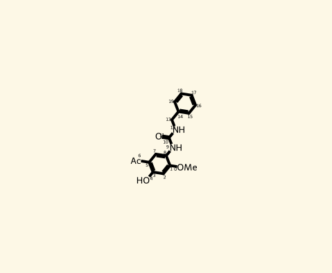 COc1cc(O)c(C(C)=O)cc1NC(=O)NCc1ccccc1